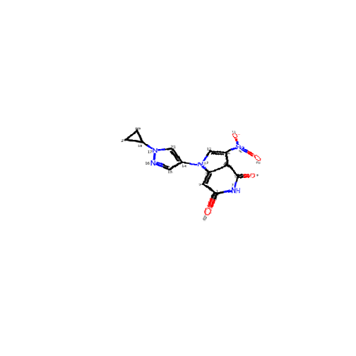 O=C1C=C2C(C(=O)N1)C([N+](=O)[O-])=CN2c1cnn(C2CC2)c1